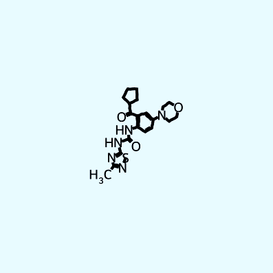 Cc1nsc(NC(=O)Nc2ccc(N3CCOCC3)cc2C(=O)C2CCCC2)n1